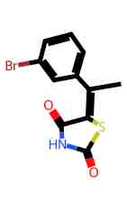 C/C(=C1\SC(=O)NC1=O)c1cccc(Br)c1